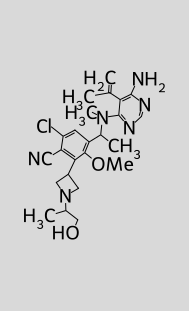 C=C(C)c1c(N)ncnc1N(C)C(C)c1cc(Cl)c(C#N)c(C2CN(C(C)CO)C2)c1OC